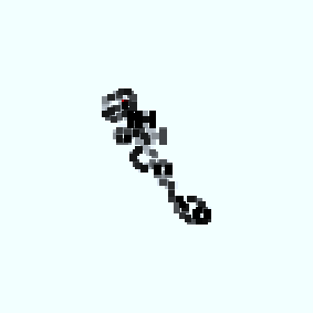 O=C(NC1CCCC(OCCCN2CCOCC2)C1)NC12CC3CC(CC(C3)C1)C2